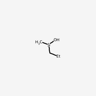 CCC[Si](C)O